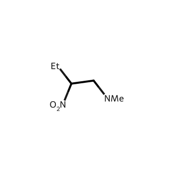 CCC(CNC)[N+](=O)[O-]